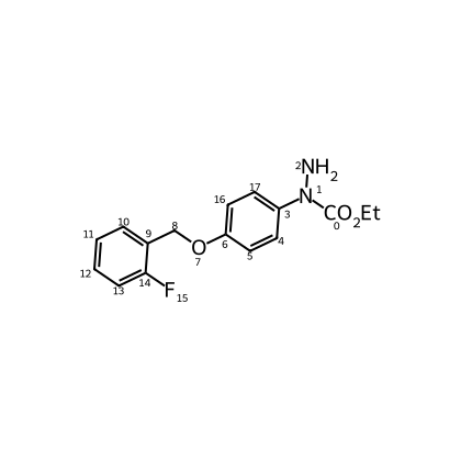 CCOC(=O)N(N)c1ccc(OCc2ccccc2F)cc1